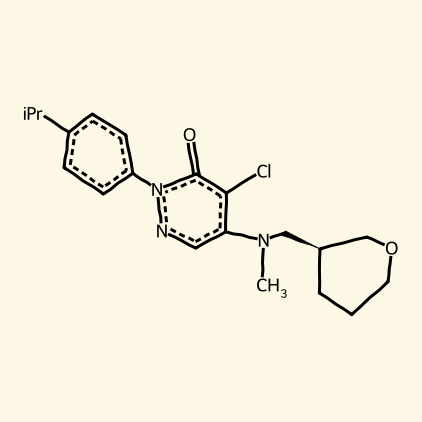 CC(C)c1ccc(-n2ncc(N(C)C[C@@H]3CCCOC3)c(Cl)c2=O)cc1